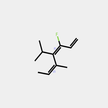 C=C/C(F)=C(\C(C)=C/C)C(C)C